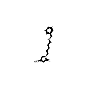 CCCCC1CC(=O)N(CCCCCOCc2ccccc2)C1